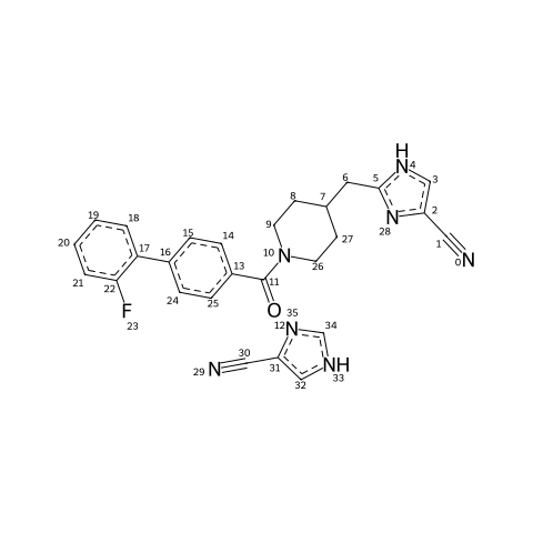 N#Cc1c[nH]c(CC2CCN(C(=O)c3ccc(-c4ccccc4F)cc3)CC2)n1.N#Cc1c[nH]cn1